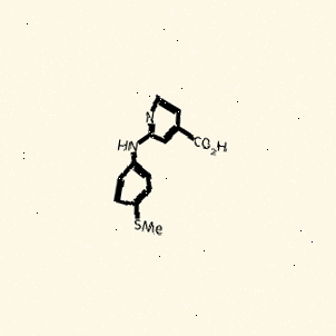 CSc1ccc(Nc2cc(C(=O)O)ccn2)cc1